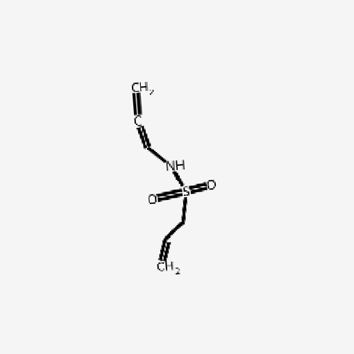 C=C=CNS(=O)(=O)CC=C